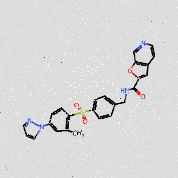 Cc1cc(-n2cccn2)ccc1S(=O)(=O)c1ccc(CNC(=O)c2cc3ccncc3o2)cc1